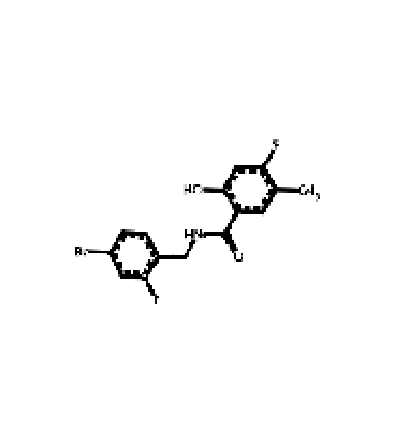 Cc1cc(C(=O)NCc2ccc(Br)cc2F)c(O)cc1F